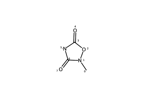 CN1OC(=O)[N]C1=O